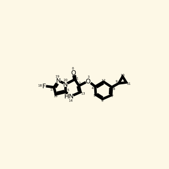 O=c1c(Oc2cccc(C3CC3)c2)c[nH]c2cc(F)nn12